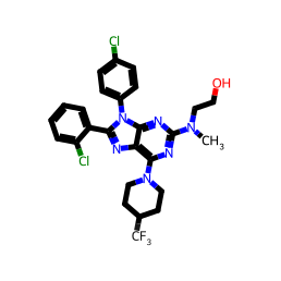 CN(CCO)c1nc(N2CCC(C(F)(F)F)CC2)c2nc(-c3ccccc3Cl)n(-c3ccc(Cl)cc3)c2n1